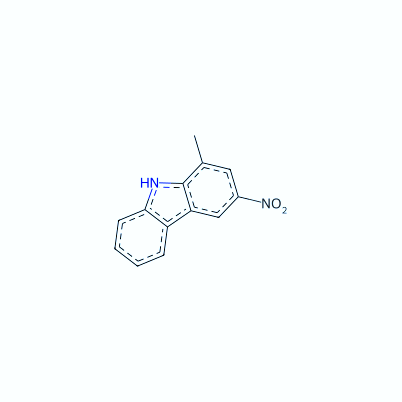 Cc1cc([N+](=O)[O-])cc2c1[nH]c1ccccc12